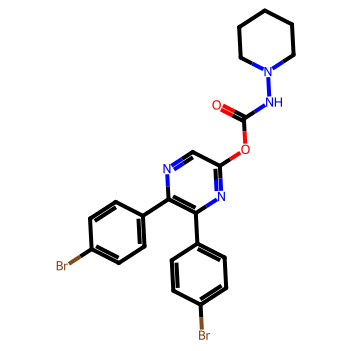 O=C(NN1CCCCC1)Oc1cnc(-c2ccc(Br)cc2)c(-c2ccc(Br)cc2)n1